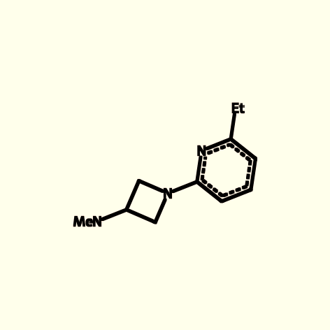 CCc1cccc(N2CC(NC)C2)n1